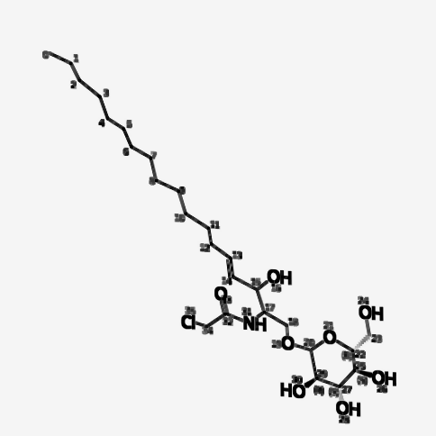 CCCCCCCCCCCCCC=CC(O)C(COC1O[C@H](CO)[C@@H](O)[C@H](O)[C@H]1O)NC(=O)CCl